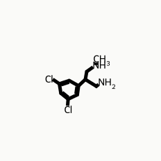 CNCC(CN)c1cc(Cl)cc(Cl)c1